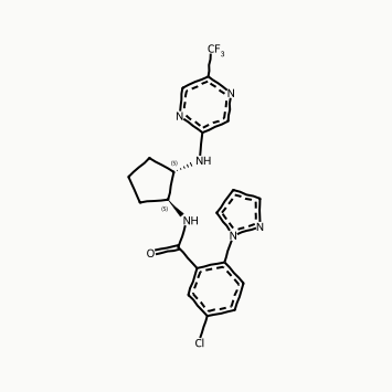 O=C(N[C@H]1CCC[C@@H]1Nc1cnc(C(F)(F)F)cn1)c1cc(Cl)ccc1-n1cccn1